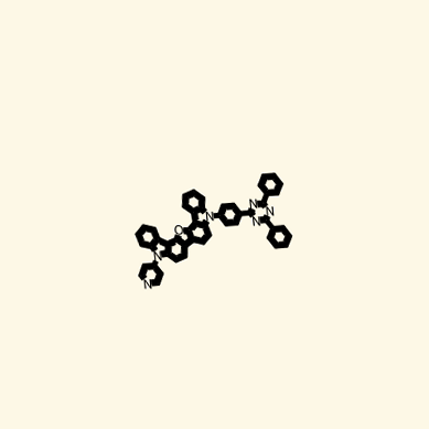 c1ccc(-c2nc(-c3ccccc3)nc(-c3ccc(-n4c5ccccc5c5c6oc7c(ccc8c7c7ccccc7n8-c7ccncc7)c6ccc54)cc3)n2)cc1